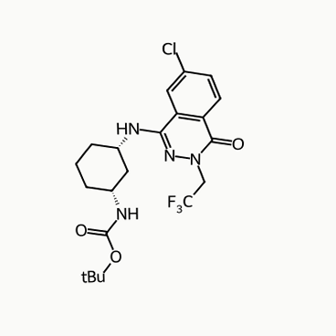 CC(C)(C)OC(=O)N[C@@H]1CCC[C@H](Nc2nn(CC(F)(F)F)c(=O)c3ccc(Cl)cc23)C1